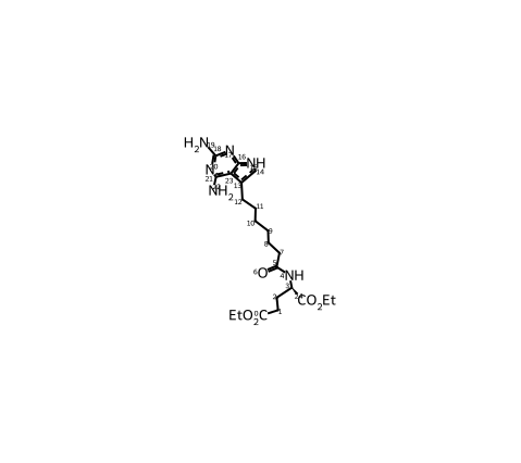 CCOC(=O)CC[C@@H](NC(=O)CCCCCCc1c[nH]c2nc(N)nc(N)c12)C(=O)OCC